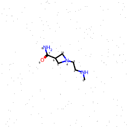 CNCCN1CC(C(N)=O)C1